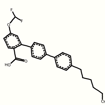 CCCCCCc1ccc(-c2ccc(-c3cc(OC(F)F)ccc3C(=O)O)cc2)cc1